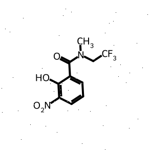 CN(CC(F)(F)F)C(=O)c1cccc([N+](=O)[O-])c1O